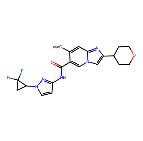 COc1cc2nc(C3CCOCC3)cn2cc1C(=O)Nc1ccn(C2CC2(F)F)n1